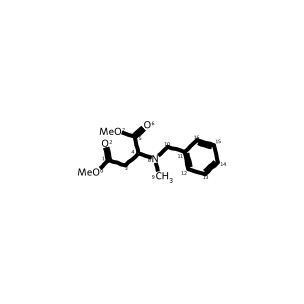 COC(=O)CC(C(=O)OC)N(C)Cc1ccccc1